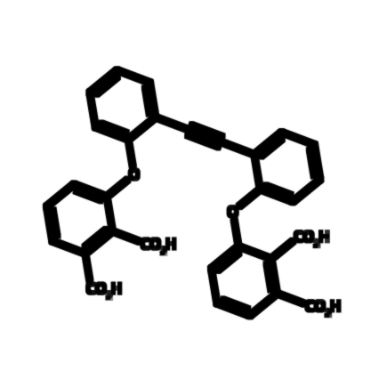 O=C(O)c1cccc(Oc2ccccc2C#Cc2ccccc2Oc2cccc(C(=O)O)c2C(=O)O)c1C(=O)O